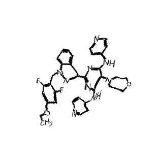 CCOc1cc(F)c(Cn2nc(-c3nc(Nc4ccncc4)c(N4CCOCC4)c(Nc4ccncc4)n3)c3ccccc32)c(F)c1